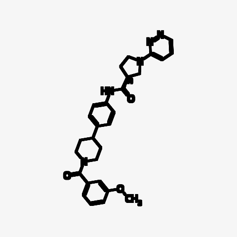 COc1cccc(C(=O)N2CCC(c3ccc(NC(=O)[C@H]4CCN(c5cccnn5)C4)cc3)CC2)c1